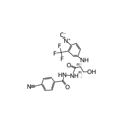 [C-]#[N+]c1ccc(N[C@@H](C(=O)NNC(=O)c2ccc(C#N)cc2)[C@@H](C)O)cc1C(F)(F)F